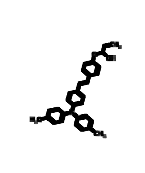 C=CC(O)Oc1ccc(C=Cc2ccc(N(c3ccc(C)cc3)c3ccc(C)cc3)cc2)cc1